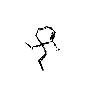 CC=CC1(OC)CC=CC=C1O